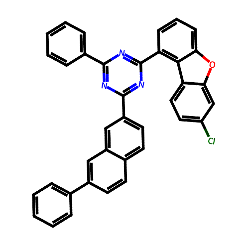 Clc1ccc2c(c1)oc1cccc(-c3nc(-c4ccccc4)nc(-c4ccc5ccc(-c6ccccc6)cc5c4)n3)c12